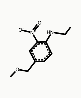 CCNc1ccc(COC)cc1[N+](=O)[O-]